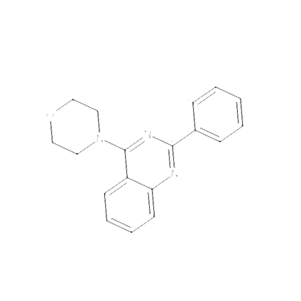 c1ccc(-c2nc(N3CCOCC3)c3ccccc3n2)cc1